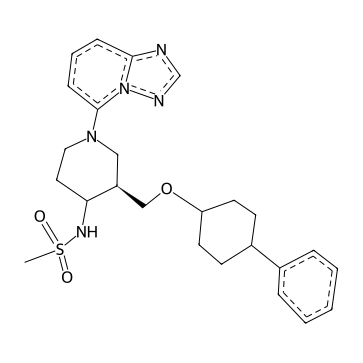 CS(=O)(=O)NC1CCN(c2cccc3ncnn23)C[C@H]1COC1CCC(c2ccccc2)CC1